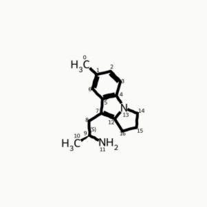 Cc1ccc2c(c1)c(C[C@H](C)N)c1n2CCC1